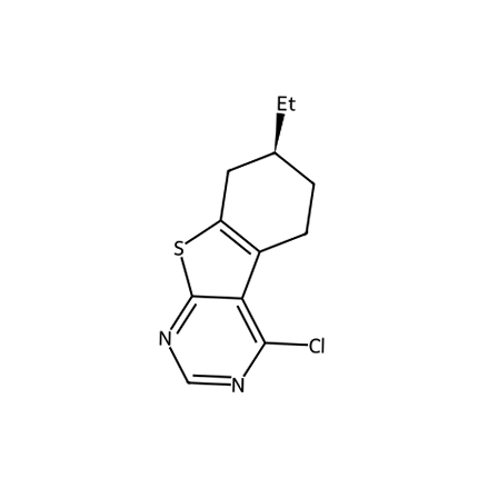 CC[C@H]1CCc2c(sc3ncnc(Cl)c23)C1